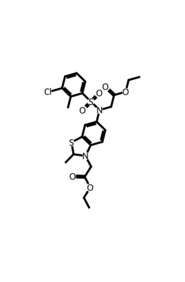 CCOC(=O)CN1c2ccc(N(CC(=O)OCC)S(=O)(=O)c3cccc(Cl)c3C)cc2SC1C